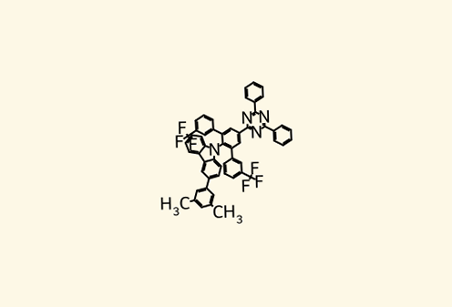 Cc1cc(C)cc(-c2ccc3c(c2)c2ccccc2n3-c2c(-c3cccc(C(F)(F)F)c3)cc(-c3nc(-c4ccccc4)nc(-c4ccccc4)n3)cc2-c2cccc(C(F)(F)F)c2)c1